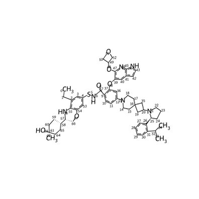 CCc1cc(SNC(=O)c2ccc(N3CCC4(CC3)CC(N3CCC[C@H]3c3ccccc3C(C)C)C4)cc2Oc2cc3cc[nH]c3nc2OC2COC2)cc2c1N[C@@H]([C@H]1CC[C@](C)(O)CC1)CO2